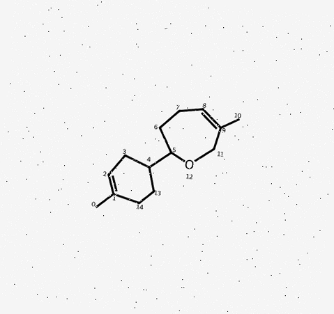 CC1=CCC(C2CCC=C(C)CO2)CC1